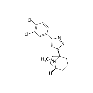 CN1[C@@H]2CCC[C@@]1(n1cc(-c3ccc(Cl)c(Cl)c3)nn1)CC2